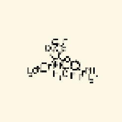 C[C@@H](NC(=O)c1cn(C2(C(F)F)CCC2)c(=O)cc1NC1CCN(C)CC1)c1cccc(C(P)P)c1F